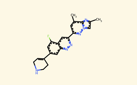 Cc1cn2nc(-c3cc4c(F)cc(C5=CCNCC5)cc4nn3)cc(C)c2n1